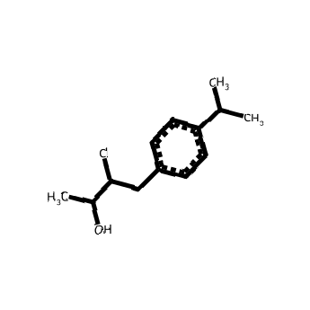 CC(C)c1ccc(CC(Cl)C(C)O)cc1